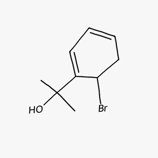 CC(C)(O)C1=CC=CCC1Br